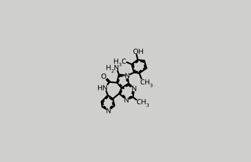 Cc1nc2c3c(c(N)n(-c4c(C)ccc(O)c4C)c3n1)C(=O)Nc1ccncc1-2